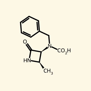 C[C@H]1NC(=O)[C@H]1N(Cc1ccccc1)C(=O)O